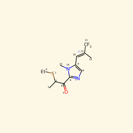 CCSC(C)C(=O)c1ncc(/C=C(\C)C(F)(F)F)n1C